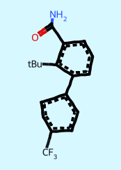 CC(C)(C)c1c(C(N)=O)cccc1-c1ccc(C(F)(F)F)cc1